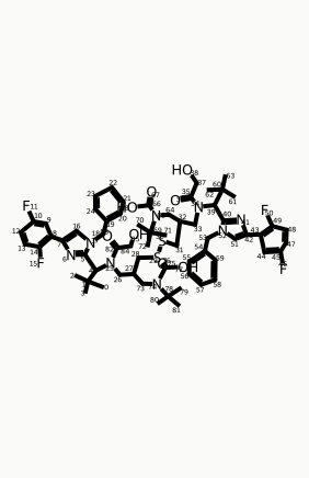 CC(C)(C)C(c1nc(-c2cc(F)ccc2F)cn1Cc1ccccc1)N(CC(CSSCC(CN(C(=O)CO)C(c1nc(-c2cc(F)ccc2F)cn1Cc1ccccc1)C(C)(C)C)CN(C(=O)O)C(C)(C)C)CN(C(=O)O)C(C)(C)C)C(=O)CO